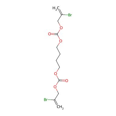 C=C(Br)COC(=O)OCCCCOC(=O)OCC(=C)Br